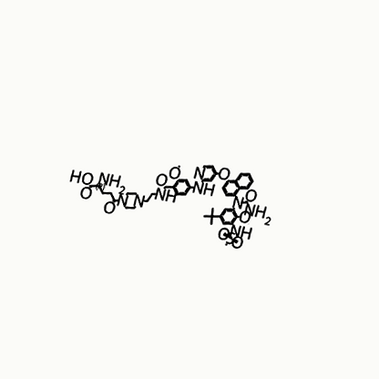 COc1cc(Nc2cc(Oc3ccc(N(C(N)=O)c4cc(C(C)(C)C)cc(NS(C)(=O)=O)c4OC)c4ccccc34)ccn2)ccc1C(=O)NCCN1CCN(C(=O)CC[C@@H](N)C(=O)O)CC1